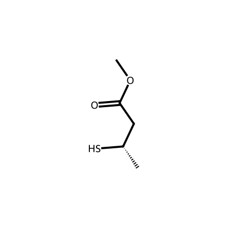 COC(=O)C[C@H](C)S